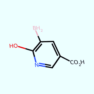 Bc1cc(C(=O)O)cnc1O